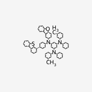 Cc1cccc(N(c2ccccc2)c2cc(N(c3ccccc3)c3cccc(C)c3)cc(N(c3ccc(-c4cccc5c4sc4ccccc45)cc3)c3ccc4oc5ccccc5c4c3)c2)c1